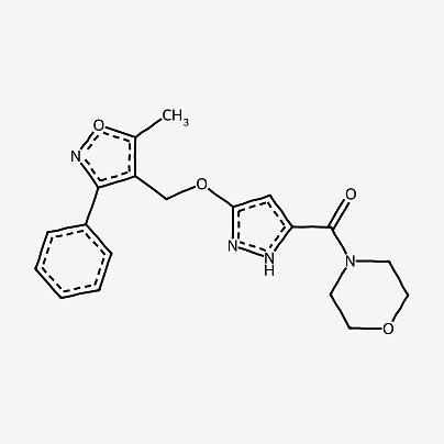 Cc1onc(-c2ccccc2)c1COc1cc(C(=O)N2CCOCC2)[nH]n1